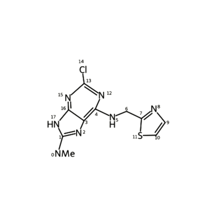 CNc1nc2c(NCc3nccs3)nc(Cl)nc2[nH]1